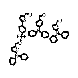 O=Cc1ccc(-c2ccc(C(F)(F)F)cc2)s1.O=Cc1ccc(N(c2ccccc2)c2ccccc2)cc1.O=Cc1ccc(N(c2ccccc2)c2ccccc2)o1.O=Cc1ccc(N(c2ccccc2)c2ccccc2)s1